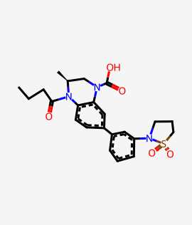 CCCC(=O)N1c2ccc(-c3cccc(N4CCCS4(=O)=O)c3)cc2N(C(=O)O)C[C@@H]1C